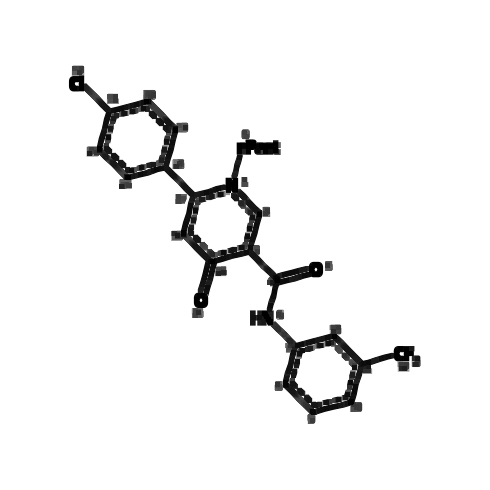 CCCCCn1cc(C(=O)Nc2cccc(C(F)(F)F)c2)c(=O)cc1-c1ccc(Cl)cc1